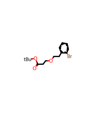 CC(C)(C)OC(=O)CCOCCc1ccccc1Br